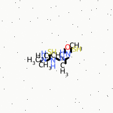 CCC(CN1CCOC(C)(S)C1)NCCNC(CNC(C)C)C(C)(C)S